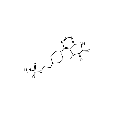 Cn1c(=O)c(=O)[nH]c2ncnc(N3CCC(CCOS(N)(=O)=O)CC3)c21